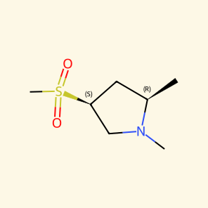 C[C@@H]1C[C@H](S(C)(=O)=O)CN1C